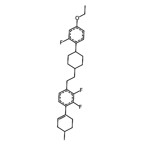 CCOc1ccc(C2CCC(CCc3ccc(C4=CCC(C)CC4)c(F)c3F)CC2)c(F)c1